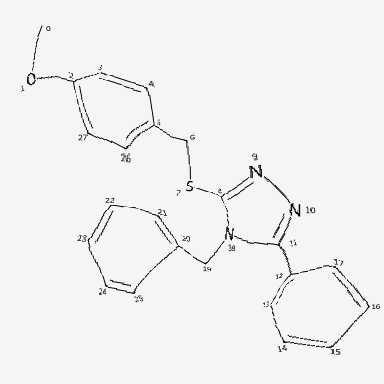 COc1ccc(CSc2nnc(-c3ccccc3)n2Cc2ccccc2)cc1